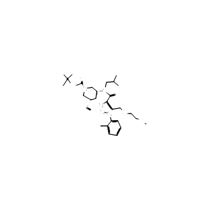 COCCOCc1c(C(=O)N(CC(C)C)[C@H]2C[C@@H](C=O)CN(C(=O)OC(C)(C)C)C2)nnn1-c1ccccc1C